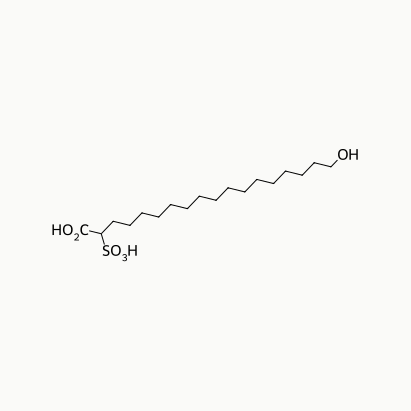 O=C(O)C(CCCCCCCCCCCCCCCCO)S(=O)(=O)O